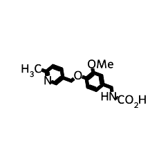 COc1cc(CNC(=O)O)ccc1OCc1ccc(C)nc1